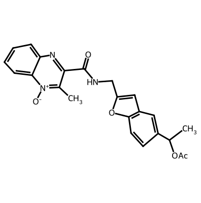 CC(=O)OC(C)c1ccc2oc(CNC(=O)c3nc4ccccc4[n+]([O-])c3C)cc2c1